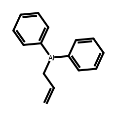 C=C[CH2][Al]([c]1ccccc1)[c]1ccccc1